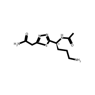 CC(=O)N[C@@H](CCCN)c1nnc(CC(N)=O)s1